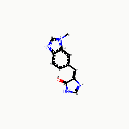 Cn1cnc2ccc(C=C3N=CNC3=O)cc21